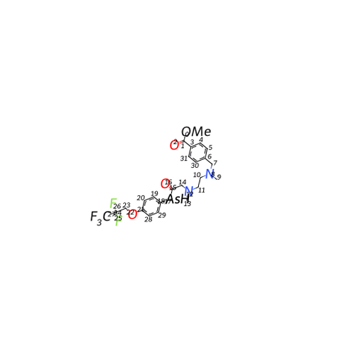 COC(=O)c1ccc(CN(C)CCN(C)CC(=O)[AsH]c2ccc(OCC(F)(F)C(F)(F)F)cc2)cc1